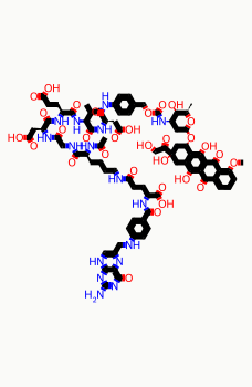 COC1=C2C(=O)c3c(O)c4c(c(O)c3C(=O)C2=CCC1)C[C@@](O)(C(=O)CO)C[C@@H]4O[C@H]1C[C@H](NC(=O)OCc2ccc(NC(=O)[C@H](CC(=O)O)NC(=O)[C@@H](NC(=O)[C@H](CCC(=O)O)NC(=O)[C@H](CC(=O)O)NC(=O)CNC(=O)[C@H](CCCCNC(=O)CCC(NC(=O)c3ccc(NCc4c[nH]c5nc(N)nc(=O)c-5n4)cc3)C(=O)O)NC(C)=O)C(C)C)cc2)[C@H](O)[C@H](C)O1